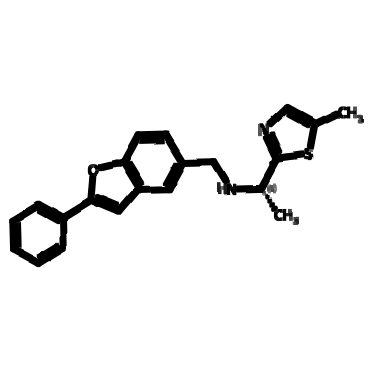 Cc1cnc([C@H](C)NCc2ccc3oc(-c4ccccc4)cc3c2)s1